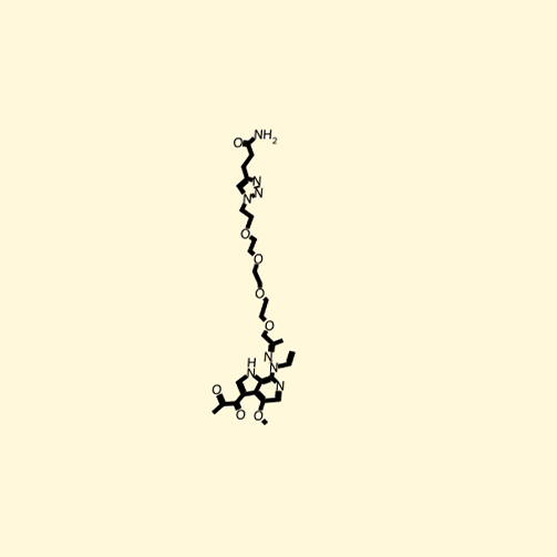 C=CN(/N=C(\C)COCCOCCOCCOCCn1cc(CCC(N)=O)nn1)c1ncc(OC)c2c(C(=O)C(C)=O)c[nH]c12